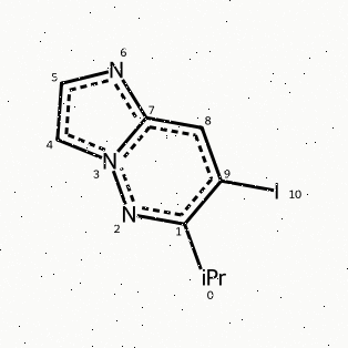 CC(C)c1nn2ccnc2cc1I